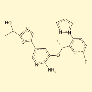 CC(O)c1ncc(-c2cnc(N)c(O[C@H](C)c3cc(F)ccc3-n3nccn3)c2)s1